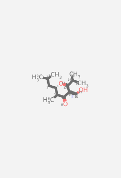 CC(C)CCC(C)C(=O)/C(=C/O)C(=O)C(C)C